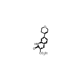 CCOC(=O)c1cc2ccc(C3=CCOCC3)cc2[nH]c1=O